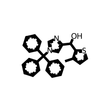 Cc1ccsc1C(O)c1cn(C(c2ccccc2)(c2ccccc2)c2ccccc2)cn1